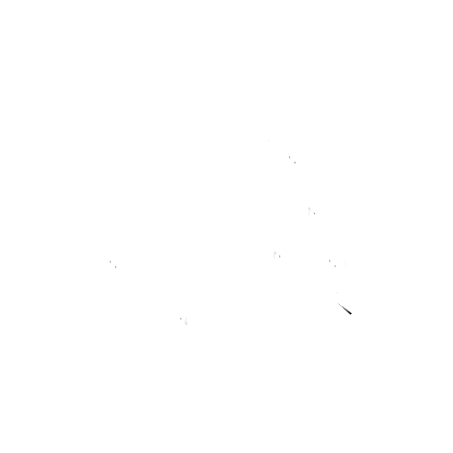 C=CN1C(=O)OCc2cnc(N[C@@H](C)c3ccc(CN4CC5(CNC5)C4)cc3)nc21